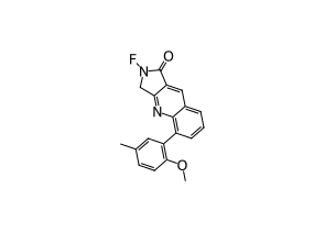 COc1ccc(C)cc1-c1cccc2cc3c(nc12)CN(F)C3=O